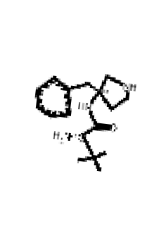 CC(C)(C)[C@H](N)C(=O)N[C@@]1(Cc2ccccc2)CCNC1